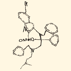 COc1nc2ccc(Br)cc2cc1C(c1ccccc1)C(O)(CN(CCN(C)C)Cc1ccccc1)c1ccccc1